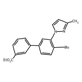 CCOC(=O)c1cccc(-c2ccc(C(C)CC)c(-n3ccc(C)n3)c2)c1